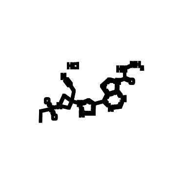 CCS(=O)(=O)N1CC(CC#N)(n2cc(-c3ncnc4c3ccn4C(=O)NN)cn2)C1.Cl